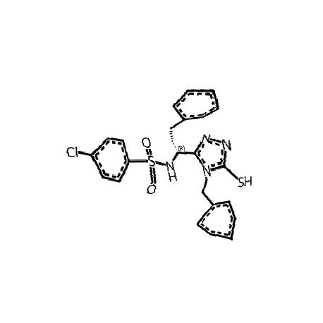 O=S(=O)(N[C@H](Cc1ccccc1)c1nnc(S)n1Cc1ccccc1)c1ccc(Cl)cc1